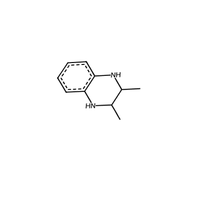 CC1Nc2ccccc2NC1C